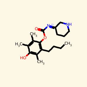 CCCCc1c(C)c(O)c(C)c(C)c1OC(=O)/N=C1\CCCNC1